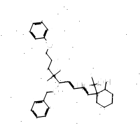 CC1CCCCC1(/C=C/C=C/[C@@H](OCc1ccccc1)C(C)(C)CCCOc1ccccc1)C(C)(O)O